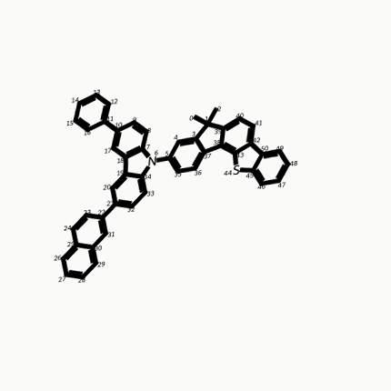 CC1(C)c2cc(-n3c4ccc(-c5ccccc5)cc4c4cc(-c5ccc6ccccc6c5)ccc43)ccc2-c2c1ccc1c2sc2ccccc21